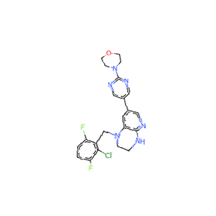 Fc1ccc(F)c(CN2CCNc3ncc(-c4cnc(N5CCOCC5)nc4)cc32)c1Cl